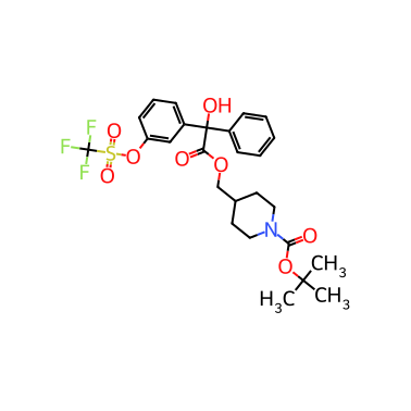 CC(C)(C)OC(=O)N1CCC(COC(=O)C(O)(c2ccccc2)c2cccc(OS(=O)(=O)C(F)(F)F)c2)CC1